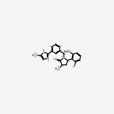 COc1cccc(F)c1C1CC(C)C(=O)N1Cc1cccc(-c2ncc(C)s2)c1